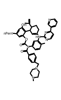 C=C(C)C1CCC(C)=CC1c1c(O)cc(CCCCC)cc1OC(=O)N(C(=O)c1ccc(CN2CCN(C)CC2)cc1)c1ccc(C)c(Nc2nccc(-c3cccnc3)n2)c1